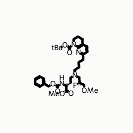 COC[C@@H](F)CN(CCCCc1ccc2c(n1)N(C(=O)OC(C)(C)C)CCC2)CC[C@H](NC(=O)OCc1ccccc1)C(=O)OC